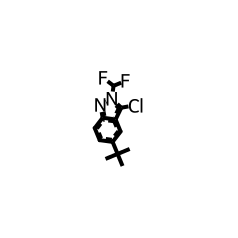 CC(C)(C)c1ccc2nn(C(F)F)c(Cl)c2c1